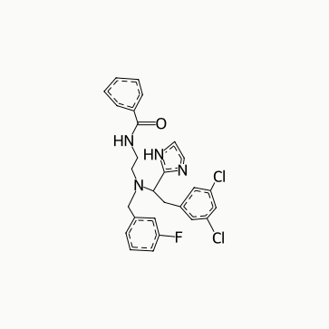 O=C(NCCN(Cc1cccc(F)c1)C(Cc1cc(Cl)cc(Cl)c1)c1ncc[nH]1)c1ccccc1